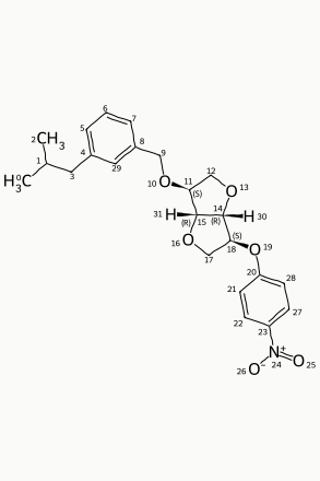 CC(C)Cc1cccc(CO[C@H]2CO[C@H]3[C@@H]2OC[C@@H]3Oc2ccc([N+](=O)[O-])cc2)c1